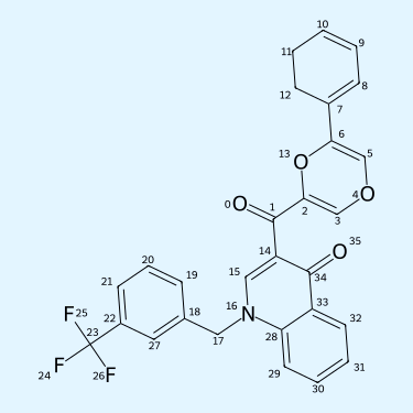 O=C(C1=COC=C(C2=CC=CCC2)O1)c1cn(Cc2cccc(C(F)(F)F)c2)c2ccccc2c1=O